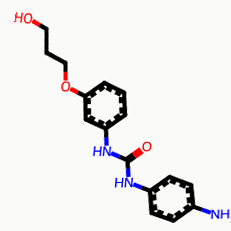 Nc1ccc(NC(=O)Nc2cccc(OCCCO)c2)cc1